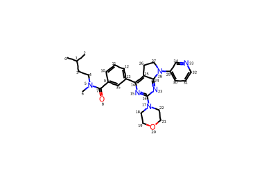 CC(C)CCN(C)C(=O)c1cccc(-c2nc(N3CCOCC3)nc3c2CCN3c2cccnc2)c1